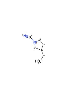 CCC1CCN(C#N)C1